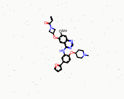 C=CC(=O)N1CC(Oc2cc3c(Nc4cc(-c5ccco5)ccc4OC4CCN(C)CC4)ncnc3cc2OC)C1